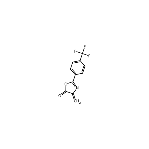 C=C1N=C(c2ccc(C(F)(F)F)cc2)OC1=O